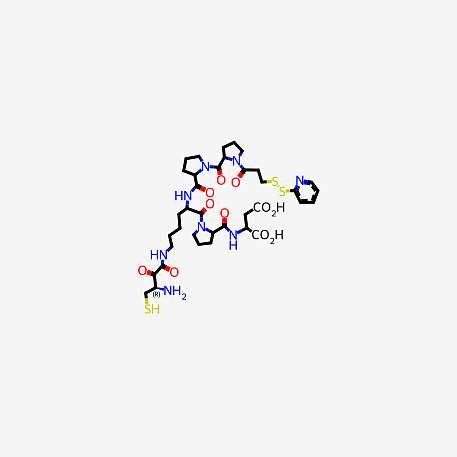 N[C@@H](CS)C(=O)C(=O)NCCCCC(NC(=O)C1CCCN1C(=O)C1CCCN1C(=O)CCSSc1ccccn1)C(=O)N1CCCC1C(=O)NC(CC(=O)O)C(=O)O